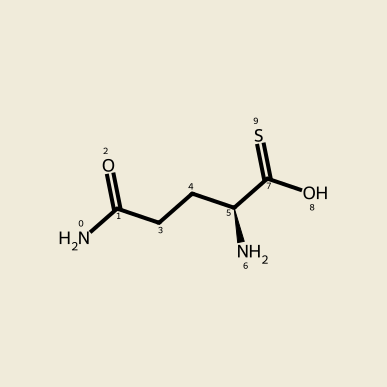 NC(=O)CC[C@H](N)C(O)=S